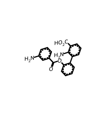 Nc1cccc(C(=O)Oc2ccccc2-c2cccc(C(=O)O)c2N)c1